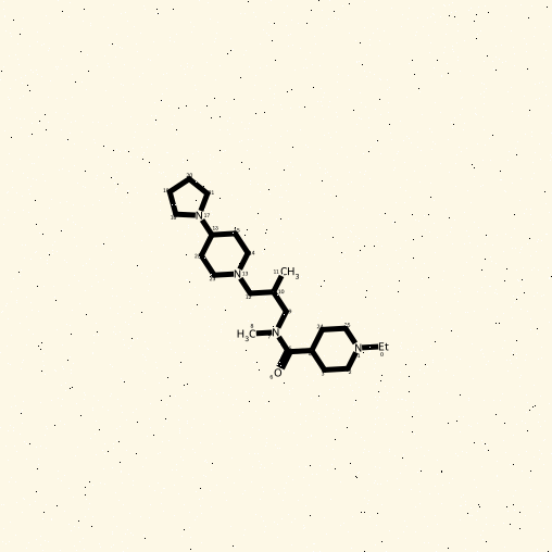 CCN1CCC(C(=O)N(C)CC(C)CN2CCC(N3CCCC3)CC2)CC1